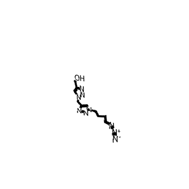 [N-]=[N+]=NCCCCn1cc(Cn2cc(CO)nn2)nn1